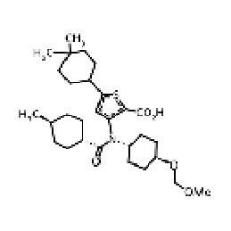 COCO[C@H]1CC[C@H](N(c2cc(C3CCC(C)(C)CC3)sc2C(=O)O)C(=O)[C@H]2CC[C@H](C)CC2)CC1